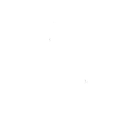 Cc1cc(-c2cc3c(cc2Cc2ccccc2)CCC(=O)N3)cn(C)c1=O